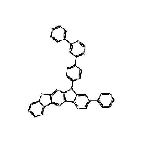 c1ccc(-c2cnc3c4cc5c(cc4n(-c4ccc(-c6ncnc(-c7ccccc7)n6)cc4)c3c2)sc2ccccc25)cc1